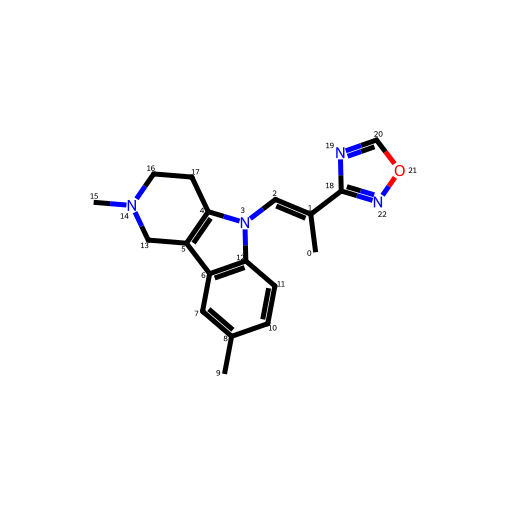 C/C(=C\n1c2c(c3cc(C)ccc31)CN(C)CC2)c1ncon1